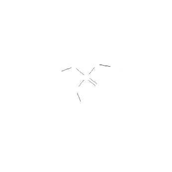 O=P(SC(F)(F)F)(SC(F)(F)F)SC(F)(F)F